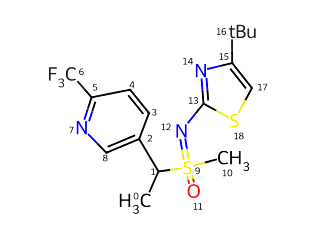 CC(c1ccc(C(F)(F)F)nc1)S(C)(=O)=Nc1nc(C(C)(C)C)cs1